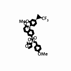 COc1ccc(CN(c2ccon2)S(=O)(=O)c2ccc3c(ccc(=O)n3-c3ccc([C@@H]4C[C@H]4C(F)(F)F)cc3OC)c2)cc1